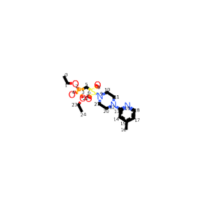 CCOP(=O)(CS(=O)(=O)N1CCN(c2cc(C)ccn2)CC1)OCC